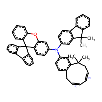 CC1(C)C/C=C\C=C/Cc2ccc(N(c3ccc4c(c3)Oc3ccccc3C43c4ccccc4-c4ccccc43)c3ccc4c(c3)C(C)(C)c3ccccc3-4)cc21